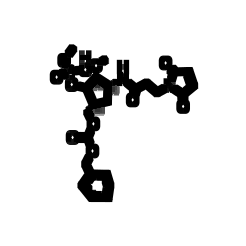 CO[C@H]1C(OP(=O)(O)OC)[C@@H](COC(=O)OCc2ccccc2)C[C@H]1NC(=O)CCN1C(=O)C=CC1=O